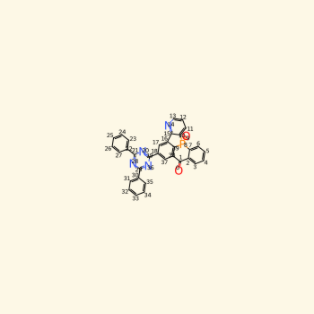 O=C1c2ccccc2P2(=O)c3cccnc3-c3cc(-c4nc(-c5ccccc5)nc(-c5ccccc5)n4)cc1c32